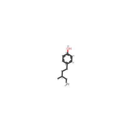 CC(C)CC(C)CCc1ccc(O)cc1